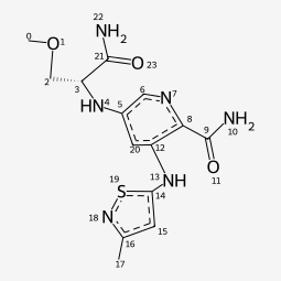 COC[C@@H](Nc1cnc(C(N)=O)c(Nc2cc(C)ns2)c1)C(N)=O